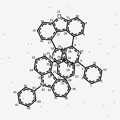 c1ccc(-c2nc(-c3cccc4oc5cccc(-c6nc7ccccc7s6)c5c34)nc(-c3cccc4c3c3ccccc3n4-c3ccccc3)n2)cc1